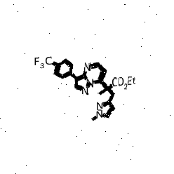 CCOC(=O)C(C)(Cc1ccn(C)n1)c1ccnc2c(-c3ccc(C(F)(F)F)cc3)cnn12